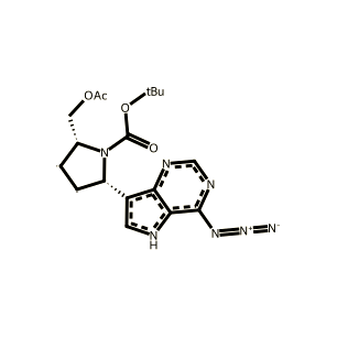 CC(=O)OC[C@H]1[CH][CH][C@@H](c2c[nH]c3c(N=[N+]=[N-])ncnc23)N1C(=O)OC(C)(C)C